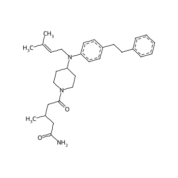 CC(C)=CCN(c1ccc(CCc2ccccc2)cc1)C1CCN(C(=O)CC(C)CC(N)=O)CC1